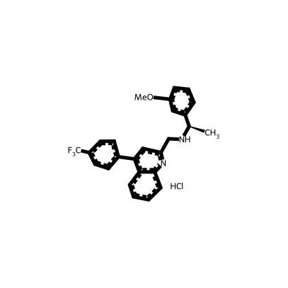 COc1cccc([C@@H](C)NCc2cc(-c3ccc(C(F)(F)F)cc3)c3ccccc3n2)c1.Cl